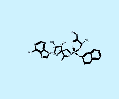 CC(C)OC(=O)[C@H](C)NP(=S)(OC[C@@]1(C(F)F)O[C@@H](n2cnc3c(N)ncnc32)[C@H](O)[C@H]1O)Oc1ccc2ccccc2c1